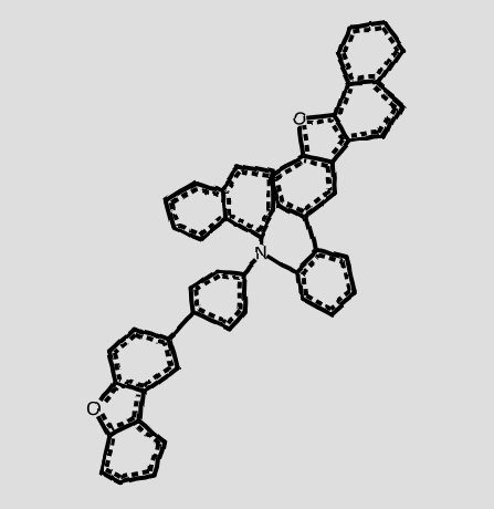 c1ccc(N(c2ccc(-c3ccc4oc5ccccc5c4c3)cc2)c2cccc3ccccc23)c(-c2ccc3oc4c5ccccc5ccc4c3c2)c1